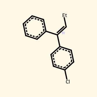 [CH2]C/C=C(\c1ccccc1)c1ccc(Cl)cc1